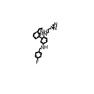 Fc1ccc(CNc2ccc(NCCn3cncn3)c(-c3cccc4cc[nH]c34)c2)cc1